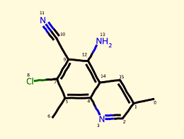 Cc1cnc2c(C)c(Cl)c(C#N)c(N)c2c1